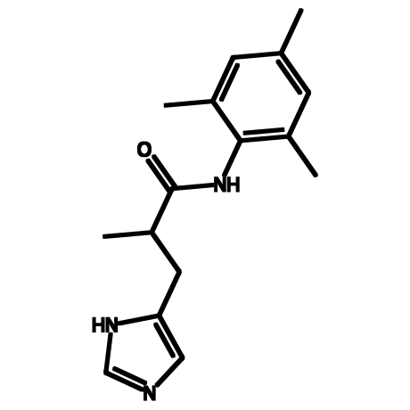 Cc1cc(C)c(NC(=O)C(C)Cc2cnc[nH]2)c(C)c1